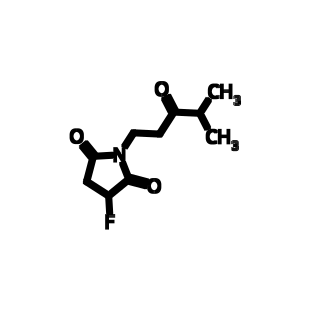 CC(C)C(=O)CCN1C(=O)CC(F)C1=O